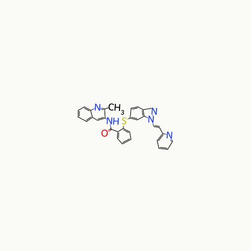 Cc1nc2ccccc2cc1NC(=O)c1ccccc1Sc1ccc2cnn(C=Cc3ccccn3)c2c1